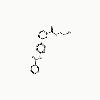 CC(C)CCNC(=O)c1cc(-c2ccc(NC(=O)c3ccccc3)nc2)ccn1